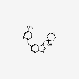 Cc1ccc(Oc2ccc3ncn(CC4(O)CCOCC4)c3c2)nc1